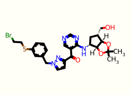 CC1(C)O[C@@H]2[C@@H](CO)C[C@@H](Nc3ncncc3C(=O)c3ccn(Cc4cccc(SCCBr)c4)n3)[C@@H]2O1